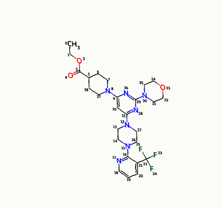 CCOC(=O)C1CCN(c2cc(N3CCN(c4ncccc4C(F)(F)F)CC3)nc(N3CCOCC3)n2)CC1